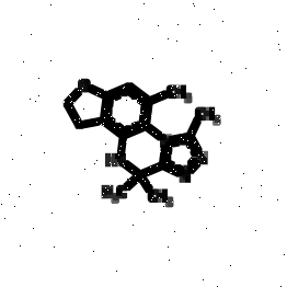 Cc1cc2c(c3c1-n1c(C)nnc1C(C)(C)N3)CCO2